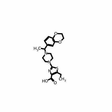 CCc1sc(N2CCN(C(C)c3ccc4c(c3)OCCO4)CC2)nc1C(=O)O